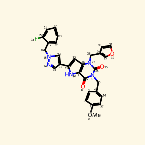 COc1ccc(Cn2c(=O)c3[nH]c(-c4cnn(Cc5ccccc5F)c4)cc3n(Cc3ccoc3)c2=O)cc1